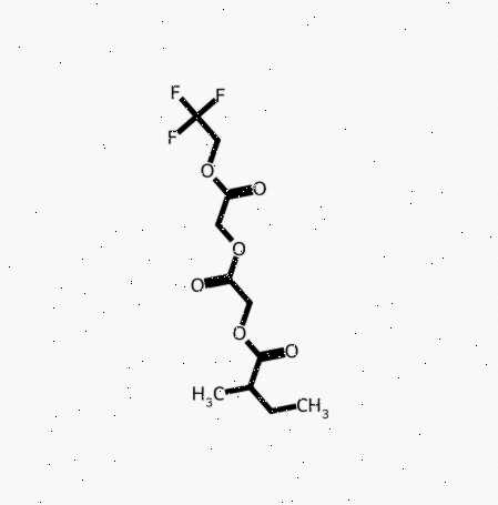 CCC(C)C(=O)OCC(=O)OCC(=O)OCC(F)(F)F